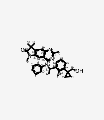 Cc1nc(N(c2ccccc2)C(C)c2cccc(C3(CO)CC3)c2F)c2cc3c(cc2n1)C(C)(C)C(=O)N3C